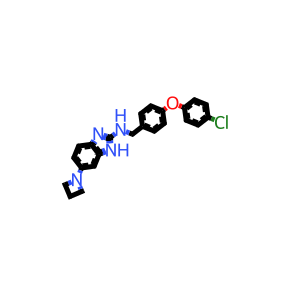 Clc1ccc(Oc2ccc(CNc3nc4ccc(N5CCC5)cc4[nH]3)cc2)cc1